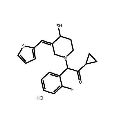 Cl.O=C(C1CC1)C(c1ccccc1F)N1CCC(S)C(=Cc2cccs2)C1